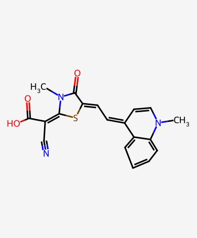 CN1C=CC(=CC=c2s/c(=C(\C#N)C(=O)O)n(C)c2=O)c2ccccc21